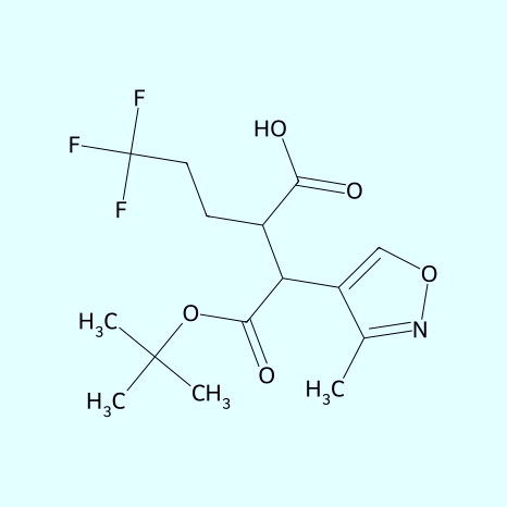 Cc1nocc1C(C(=O)OC(C)(C)C)C(CCC(F)(F)F)C(=O)O